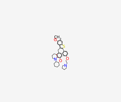 COc1ccc2sc(-c3ccc(OCCN4CCCC4)cc3)c(Cc3ccc(O[C@@H]4CCCC[C@H]4N4CCCCC4)cc3)c2c1